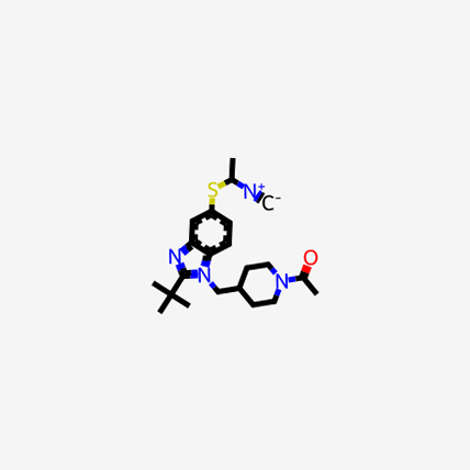 [C-]#[N+]C(C)Sc1ccc2c(c1)nc(C(C)(C)C)n2CC1CCN(C(C)=O)CC1